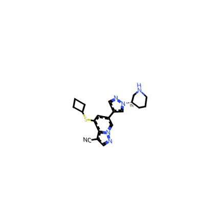 N#Cc1cnn2cc(-c3cnn([C@H]4CCCNC4)c3)cc(SC3CCC3)c12